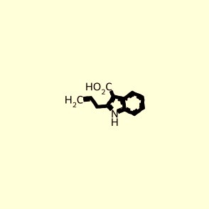 C=CCc1[nH]c2ccccc2c1C(=O)O